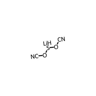 N#COSOC#N.[LiH]